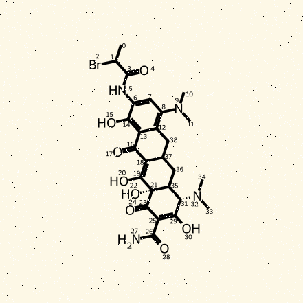 CC(Br)C(=O)Nc1cc(N(C)C)c2c(c1O)C(=O)C1=C(O)[C@]3(O)C(=O)C(C(N)=O)=C(O)[C@@H](N(C)C)C3CC1C2